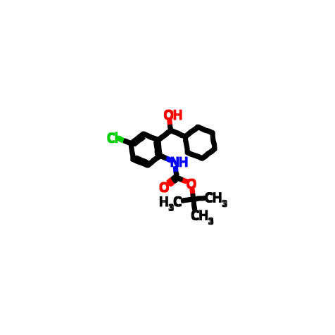 CC(C)(C)OC(=O)Nc1ccc(Cl)cc1C(O)C1CCCCC1